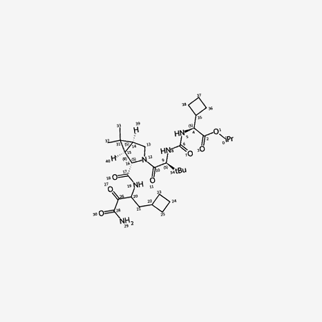 CC(C)OC(=O)[C@@H](NC(=O)N[C@H](C(=O)N1C[C@H]2[C@@H]([C@H]1C(=O)NC(CC1CCC1)C(=O)C(N)=O)C2(C)C)C(C)(C)C)C1CCC1